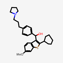 COc1ccc2c(C(O)c3ccc(CCCN4CCCC4)cc3)c(C3CCCCC3)sc2c1